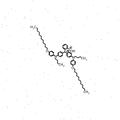 CCCCCCCCCCCCOc1ccc(N(CCCC)c2ccc(C(c3ccc(N(CCCC)c4ccc(OCCCCCCCCCCCC)cc4)cc3)c3ccccc3S(=O)(=O)O)cc2)cc1